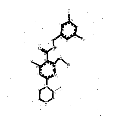 CCSc1nc(N2CCOC[C@H]2C)cc(C)c1C(=O)NCc1cc(F)cc(F)c1